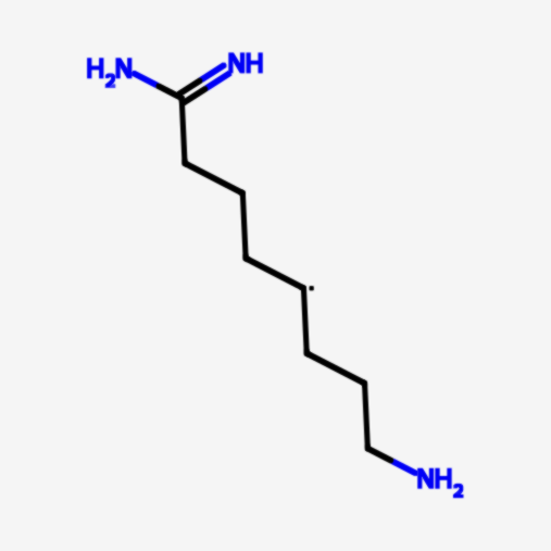 N=C(N)CCC[CH]CCCN